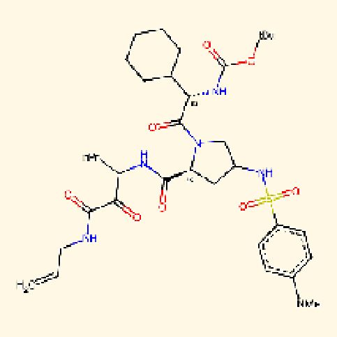 C=CCNC(=O)C(=O)C(CCC)NC(=O)[C@@H]1CC(NS(=O)(=O)c2ccc(NC)cc2)CN1C(=O)[C@@H](NC(=O)OC(C)(C)C)C1CCCCC1